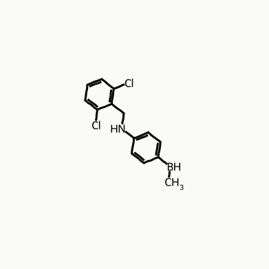 CBc1ccc(NCc2c(Cl)cccc2Cl)cc1